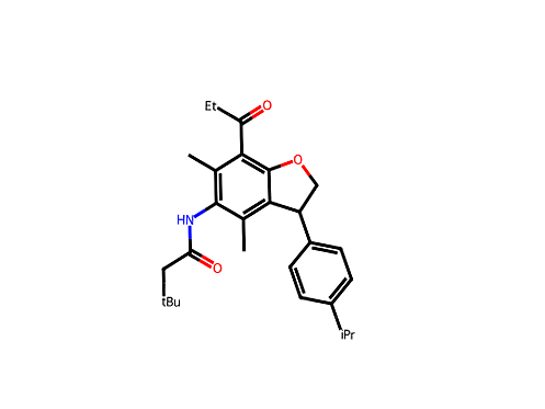 CCC(=O)c1c(C)c(NC(=O)CC(C)(C)C)c(C)c2c1OCC2c1ccc(C(C)C)cc1